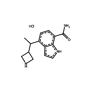 CC(c1ccc(C(N)=O)c2[nH]ccc12)C1CNC1.Cl